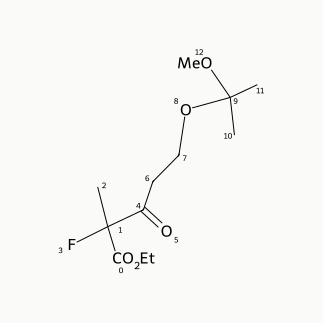 CCOC(=O)C(C)(F)C(=O)CCOC(C)(C)OC